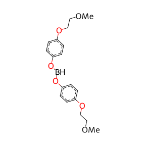 COCCOc1ccc(OBOc2ccc(OCCOC)cc2)cc1